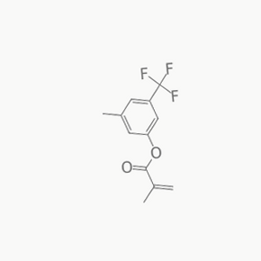 C=C(C)C(=O)Oc1cc(C)cc(C(F)(F)F)c1